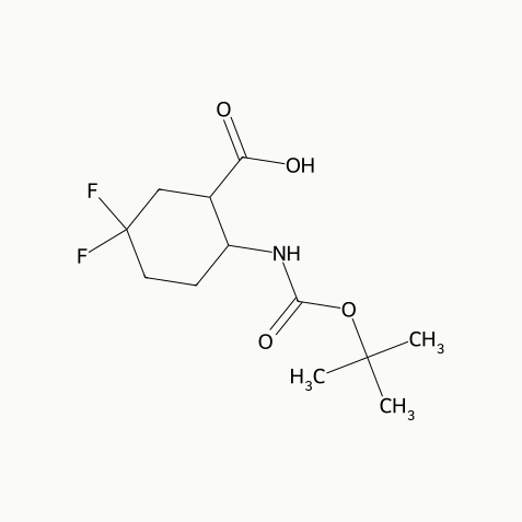 CC(C)(C)OC(=O)NC1CCC(F)(F)CC1C(=O)O